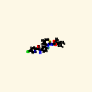 CC(C)(C)OC(=O)NC1=N[C@@]2(c3cc(NC(=O)c4ccc(Cl)cn4)ccc3F)C[C@H]2CCS1